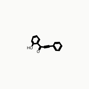 O=C(C#Cc1ccccc1)c1ccccc1O